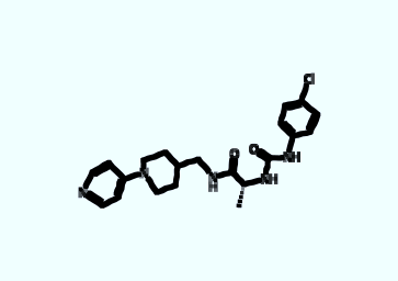 C[C@@H](NC(=O)Nc1ccc(Cl)cc1)C(=O)NCC1CCN(c2ccncc2)CC1